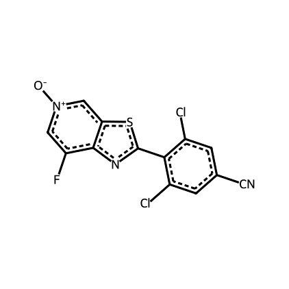 N#Cc1cc(Cl)c(-c2nc3c(F)c[n+]([O-])cc3s2)c(Cl)c1